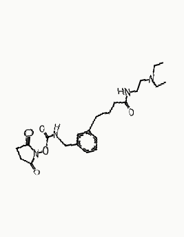 CCN(CC)CCNC(=O)CCCc1cccc(CNC(=O)ON2C(=O)CCC2=O)c1